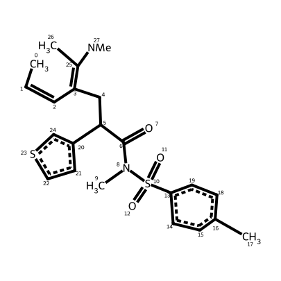 C/C=C\C(CC(C(=O)N(C)S(=O)(=O)c1ccc(C)cc1)c1ccsc1)=C(/C)NC